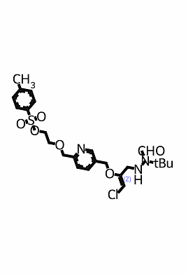 Cc1ccc(S(=O)(=O)OCCOCc2ccc(CO/C(=C\Cl)CNN(C=O)C(C)(C)C)cn2)cc1